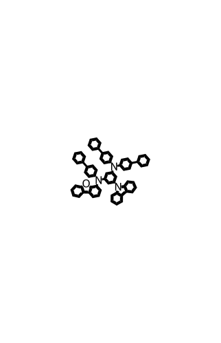 c1ccc(-c2ccc(N(c3ccc(-c4ccccc4)cc3)c3cc(N(c4ccc(-c5ccccc5)cc4)c4cccc5c4oc4ccccc45)cc(-n4c5ccccc5c5ccccc54)c3)cc2)cc1